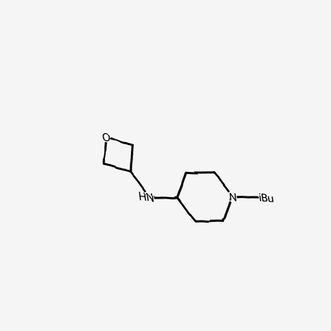 CCC(C)N1CCC(NC2COC2)CC1